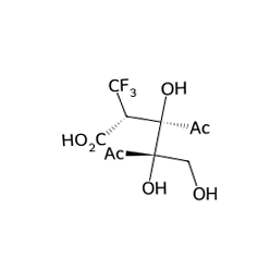 CC(=O)[C@](O)(CO)[C@@](O)(C(C)=O)[C@H](C(=O)O)C(F)(F)F